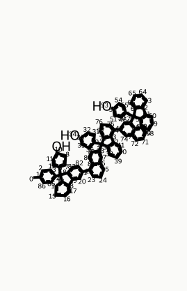 Cc1ccc(C2(c3ccc(O)cc3)c3ccccc3-c3cc(-c4cccc5cc(C6(c7ccc(O)cc7)c7ccccc7-c7c(-c8cc(C9(c%10ccc(O)cc%10)c%10ccccc%10-c%10ccccc%109)c9ccccc9c8)cccc76)ccc45)ccc32)cc1